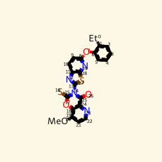 CCc1ccccc1Oc1ccc2nc(-n3c(=S)oc4c(OC)ccnc4c3=O)sc2n1